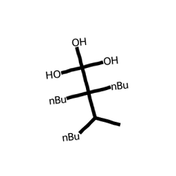 CCCCC(C)C(CCCC)(CCCC)C(O)(O)O